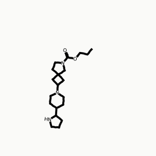 CCCOC(=O)N1CCC2(CC(N3CCC(C4CCCN4)CC3)C2)C1